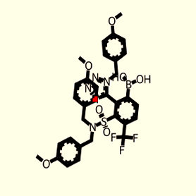 COc1ccc(CN(Cc2ccc(OC)cc2)S(=O)(=O)c2c(C(F)(F)F)ccc(B(O)O)c2-c2nnnn2Cc2ccc(OC)cc2)cc1